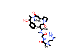 CCC(C)C(C(CC(=O)N1CCC[C@H]1C(OC)[C@@H](C)C(=O)NC(C)[C@@H](O)c1ccccc1)OC)N(C)C(=O)CNC(=O)C(C(C)C)N(C)CCN(C)N